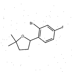 CC1(C)CCC(c2ccc(F)cc2Br)O1